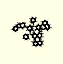 c1ccc(N2c3cc(-c4ccc5oc6ccccc6c5c4)cc4c3B(c3c2cc2c5cccc6cccc(c7cccc3c72)c65)c2c(cc3c5cccc6cccc(c7cccc2c73)c65)N4c2ccccc2)cc1